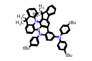 CC(C)(C)c1ccc(N2B3c4cccc5c4N(c4ccccc4C5(C)C)c4c3c(cc3c4C(C)(C)c4ccccc4-3)-c3cc(N(c4ccc(C(C)(C)C)cc4)c4ccc(C(C)(C)C)cc4)ccc32)cc1